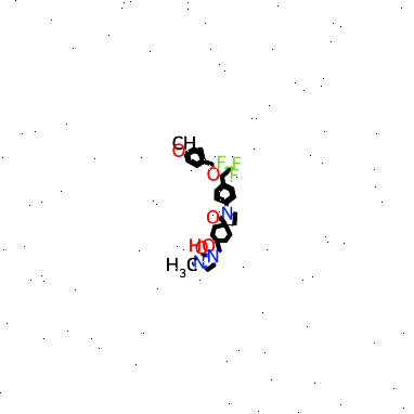 COc1ccc(CO[C@H](c2ccc(N3CC[C@]4(CC[C@@](O)(CN5CCN(C)C5=O)CC4)C3=O)cc2)C(F)(F)F)cc1